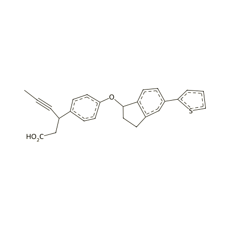 CC#CC(CC(=O)O)c1ccc(OC2CCc3cc(-c4cccs4)ccc32)cc1